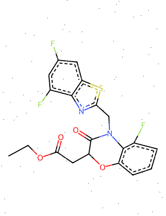 CCOC(=O)CC1Oc2cccc(F)c2N(Cc2nc3c(F)cc(F)cc3s2)C1=O